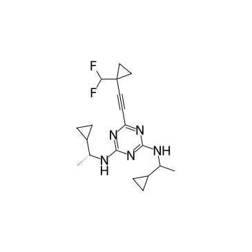 CC(Nc1nc(C#CC2(C(F)F)CC2)nc(N[C@H](C)C2CC2)n1)C1CC1